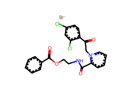 O=C(OCCNC(=O)c1cccc[n+]1CC(=O)c1ccc(Cl)cc1Cl)c1ccccc1.[Br-]